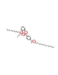 CCCCCCCCCCCCOC(C)c1ccc(C(=O)Oc2ccccc2OC(CCC)CCCCCCCCCCC)cc1